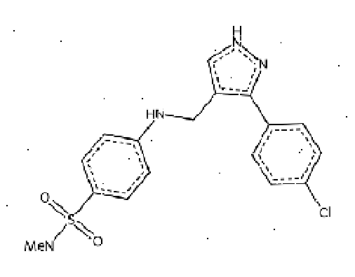 CNS(=O)(=O)c1ccc(NCc2c[nH]nc2-c2ccc(Cl)cc2)cc1